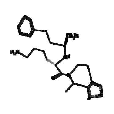 CCOC(=O)[C@H](CCc1ccccc1)N[C@@H](CCCCN)C(=O)N1CCc2ccsc2C1C